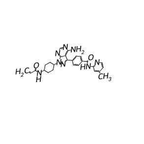 C=CC(=O)NC1CCC(n2nc(-c3ccc(C(=O)Nc4cc(C)ccn4)cc3)c3c(N)ncnc32)CC1